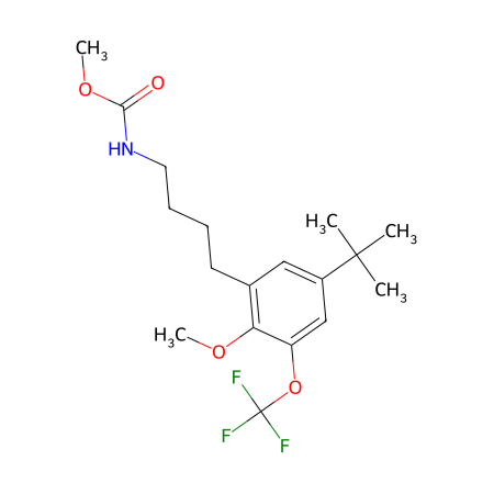 COC(=O)NCCCCc1cc(C(C)(C)C)cc(OC(F)(F)F)c1OC